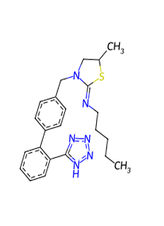 CCCCCN=C1SC(C)CN1Cc1ccc(-c2ccccc2-c2nnn[nH]2)cc1